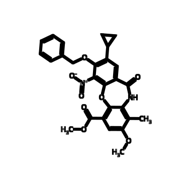 COC(=O)c1cc(OC)c(C)c2c1Oc1c(cc(C3CC3)c(OCc3ccccc3)c1[N+](=O)[O-])C(=O)N2